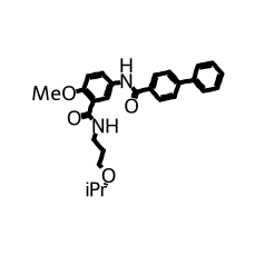 COc1ccc(NC(=O)c2ccc(-c3ccccc3)cc2)cc1C(=O)NCCCOC(C)C